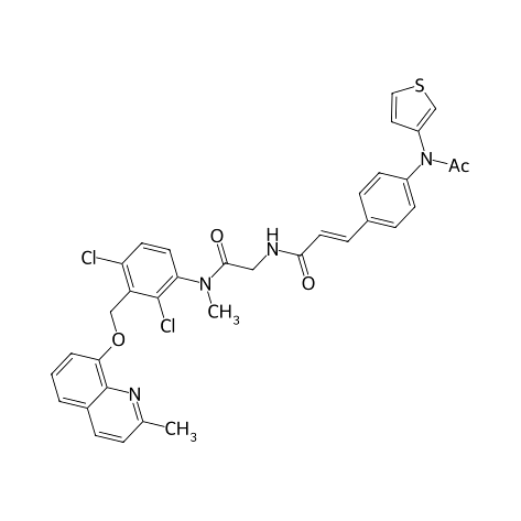 CC(=O)N(c1ccc(C=CC(=O)NCC(=O)N(C)c2ccc(Cl)c(COc3cccc4ccc(C)nc34)c2Cl)cc1)c1ccsc1